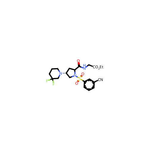 CCOC(=O)CNC(=O)C1C[C@@H](N2CCCC(F)(F)C2)CN1S(=O)(=O)c1cccc(C#N)c1